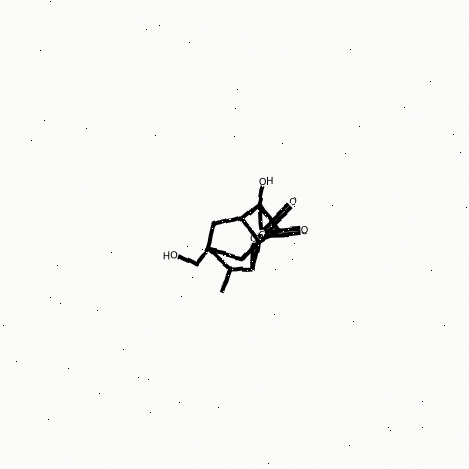 CC1C2OS(=O)(=O)C3(O)CC24CC1(CO)CC43